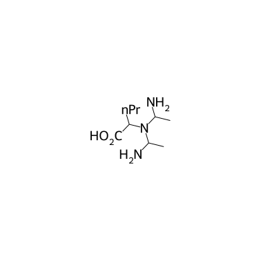 CCCC(C(=O)O)N(C(C)N)C(C)N